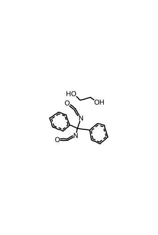 O=C=NC(N=C=O)(c1ccccc1)c1ccccc1.OCCO